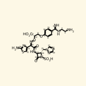 N=C(NCCN)c1ccc(OC[C@H](O/N=C(\C(=O)NC2C(=O)N(S(=O)(=O)O)[C@H]2Cn2cncn2)c2csc(N)n2)C(=O)O)cc1